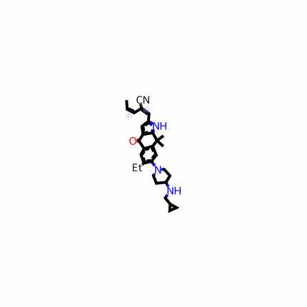 C/C=C\C(C#N)=C/c1cc2c([nH]1)C(C)(C)c1cc(N3CCC(NCC4CC4)CC3)c(CC)cc1C2=O